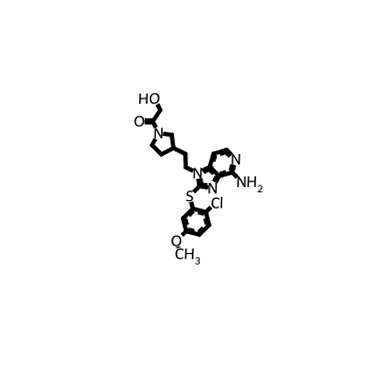 COc1ccc(Cl)c(Sc2nc3c(N)nccc3n2CCC2CCN(C(=O)CO)C2)c1